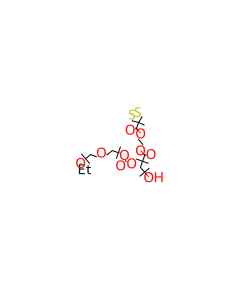 CCOC(C)(C)CCOCCC(C)(C)OC(=O)OCC(C)(CC(C)(C)O)C(=O)OCCOC(=O)C1(C)CSSC1